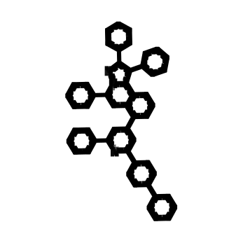 c1ccc(-c2ccc(-c3cc(-c4cccc5c4cc(-c4ccccc4)n4nc(-c6ccccc6)c(-c6ccccc6)c54)cc(-c4ccccc4)n3)cc2)cc1